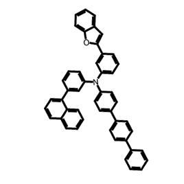 c1ccc(-c2ccc(-c3ccc(N(c4cccc(-c5cc6ccccc6o5)c4)c4cccc(-c5cccc6ccccc56)c4)cc3)cc2)cc1